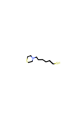 SCCCCCCN1CCSCC1